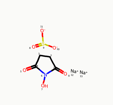 O=C1CCC(=O)N1O.O=S([O-])[O-].[Na+].[Na+]